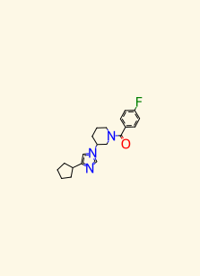 O=C(c1ccc(F)cc1)N1CCCC(n2cnc(C3CCCC3)c2)C1